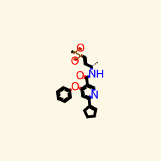 C[C@@H](/C=C/S(C)(=O)=O)NC(=O)c1cnc(C2=CCCC2)cc1Oc1ccccc1